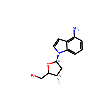 Nc1cccc2c1ccn2[C@H]1C[C@H](F)C(CO)O1